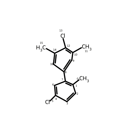 Cc1ccc(Cl)cc1-c1cc(C)c(Cl)c(C)c1